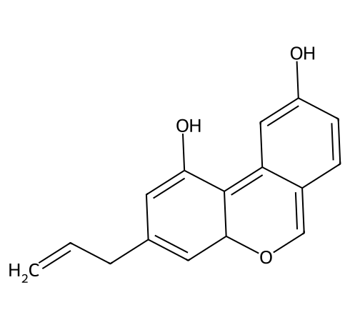 C=CCC1=CC2OC=c3ccc(O)cc3=C2C(O)=C1